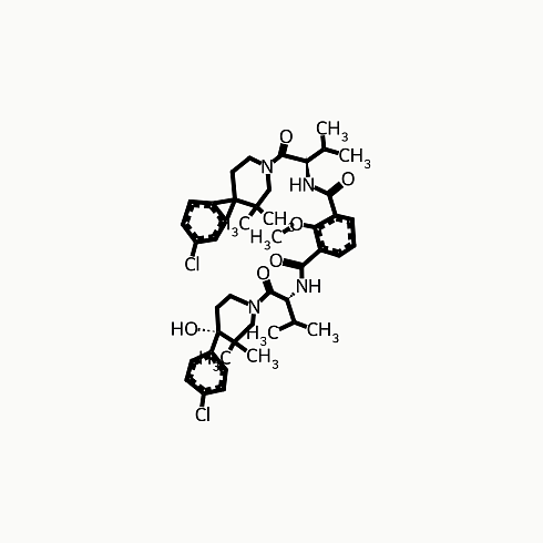 COc1c(C(=O)N[C@@H](C(=O)N2CCC3(c4ccc(Cl)cc43)C(C)(C)C2)C(C)C)cccc1C(=O)N[C@@H](C(=O)N1CC[C@](O)(c2ccc(Cl)cc2)C(C)(C)C1)C(C)C